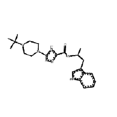 CC(Cc1c[nH]c2ccccc12)NC(=O)c1nnc(N2CCN(C(C)(C)C)CC2)[nH]1